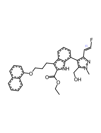 CCOC(=O)c1[nH]c2c(-c3c(/C=C/F)nn(C)c3CO)cccc2c1CCCOc1cccc2ccccc12